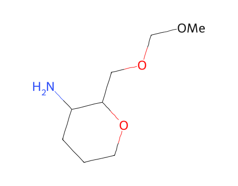 COCOCC1OCCCC1N